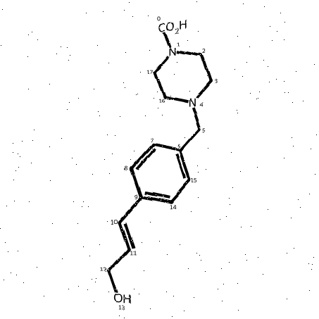 O=C(O)N1CCN(Cc2ccc(/C=C/CO)cc2)CC1